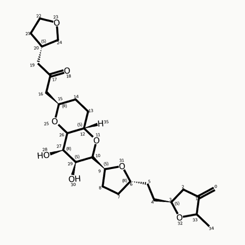 C=C1C[C@H](CC[C@@H]2CC[C@@H](C3O[C@H]4CC[C@H](CC(=O)C[C@@H]5CCOC5)OC4[C@H](O)[C@@H]3O)O2)OC1C